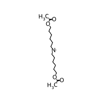 CC(=O)OCCCCCC[N]CCCCCCOC(C)=O